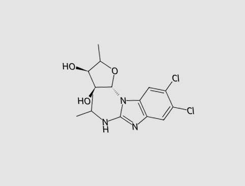 CC(C)Nc1nc2cc(Cl)c(Cl)cc2n1[C@H]1OC(C)[C@H](O)[C@@H]1O